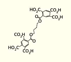 O=C(O)c1cc(C(=O)O)c(C(=O)OCCCCOC(=O)c2cc(C(=O)O)c(C(=O)O)cc2C(=O)O)cc1C(=O)O